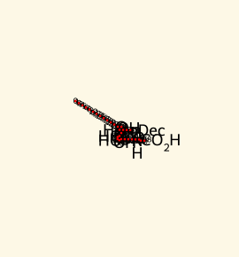 CC#CC#CC#CC#CC#CC#CC#CC#CC#CC#CC#CC#CC(=O)N[C@@H](CO[C@H]1OC(COCCCCCCNC(=O)CCCC(=O)O)[C@H](O)[C@H](O)C1O)[C@H](O)[C@H](O)CCCCCCCCCCCCCC